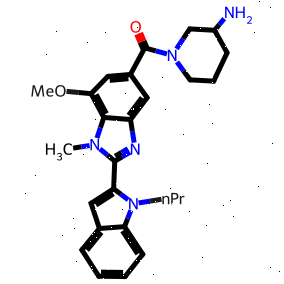 CCCn1c(-c2nc3cc(C(=O)N4CCCC(N)C4)cc(OC)c3n2C)cc2ccccc21